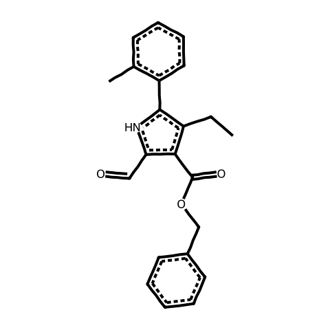 CCc1c(-c2ccccc2C)[nH]c(C=O)c1C(=O)OCc1ccccc1